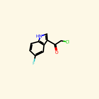 O=C(CCl)c1c[nH]c2ccc(F)cc12